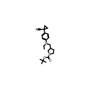 CCN(CC1CCN(C(=O)OC(C)(C)C)C1)c1ccc(C2(C#N)CC2)cc1